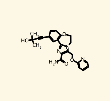 CC(C)(O)C#Cc1ccc2c(c1)-c1nc(C(N)=O)c(COc3ccccn3)n1CCO2